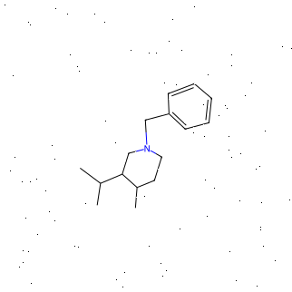 CC(C)C1CN(Cc2ccccc2)CCC1C